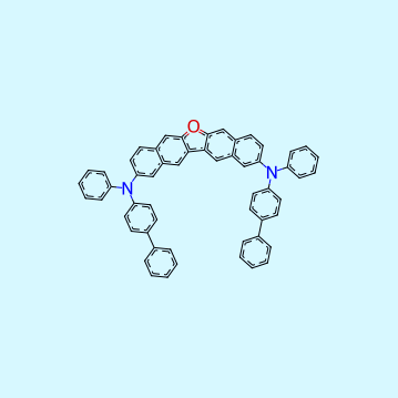 c1ccc(-c2ccc(N(c3ccccc3)c3ccc4cc5oc6cc7ccc(N(c8ccccc8)c8ccc(-c9ccccc9)cc8)cc7cc6c5cc4c3)cc2)cc1